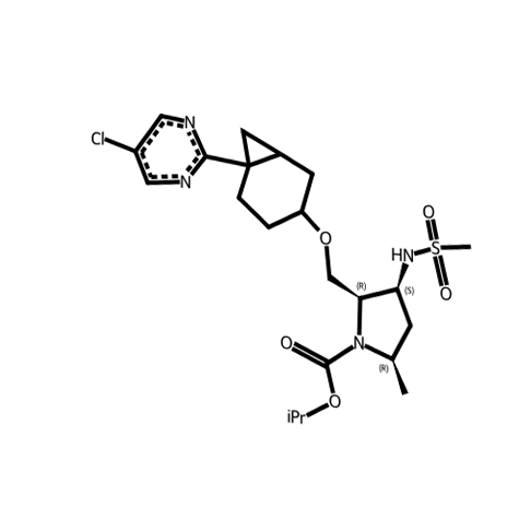 CC(C)OC(=O)N1[C@H](C)C[C@H](NS(C)(=O)=O)[C@@H]1COC1CCC2(c3ncc(Cl)cn3)CC2C1